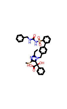 CCc1nc(SC)c(C(O)(C(=O)O)c2ccccc2)n1Cc1ccc(-c2ccccc2S(=O)(=O)NC(=O)NCc2ccccc2)cc1